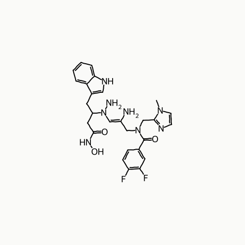 Cn1ccnc1CN(C/C(N)=C/N(N)C(CC(=O)NO)Cc1c[nH]c2ccccc12)C(=O)c1ccc(F)c(F)c1